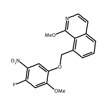 COc1cc(F)c([N+](=O)[O-])cc1OCc1cccc2ccnc(OC)c12